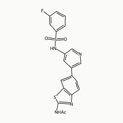 CC(=O)Nc1nc2ccc(-c3cncc(NS(=O)(=O)c4cccc(F)c4)c3)cc2s1